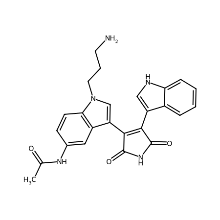 CC(=O)Nc1ccc2c(c1)c(C1=C(c3c[nH]c4ccccc34)C(=O)NC1=O)cn2CCCN